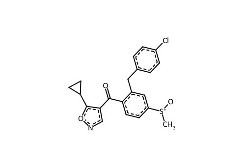 C[S+]([O-])c1ccc(C(=O)c2cnoc2C2CC2)c(Cc2ccc(Cl)cc2)c1